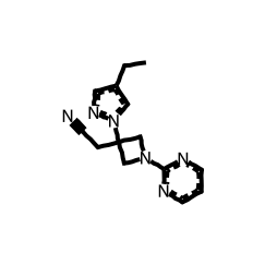 CCc1cnn(C2(CC#N)CN(c3ncccn3)C2)c1